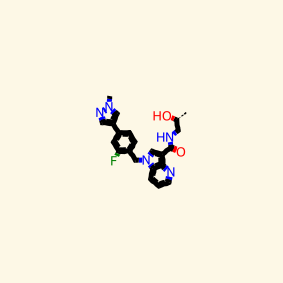 C[C@@H](O)CNC(=O)c1cn(Cc2ccc(-c3cnn(C)c3)cc2F)c2cccnc12